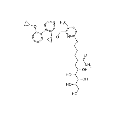 Cc1ccc(SCCCC(C[C@H](O)[C@@H](O)[C@H](O)[C@H](O)CO)C(N)=O)nc1COC1(c2cnccc2-c2ccccc2OC2CC2)CC1